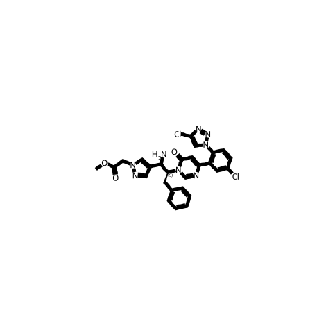 COC(=O)Cn1cc(C(N)[C@H](Cc2ccccc2)n2cnc(-c3cc(Cl)ccc3-n3cc(Cl)nn3)cc2=O)cn1